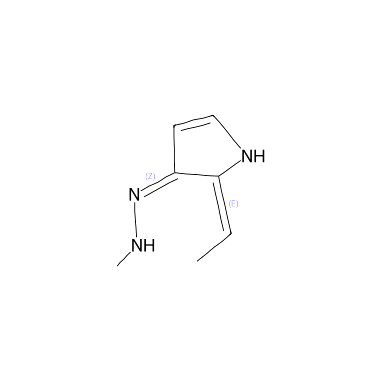 C/C=C1/NC=C/C1=N/NC